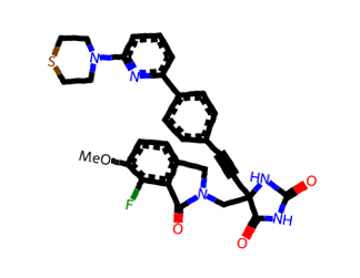 COc1ccc2c(c1F)C(=O)N(CC1(C#Cc3ccc(-c4cccc(N5CCSCC5)n4)cc3)NC(=O)NC1=O)C2